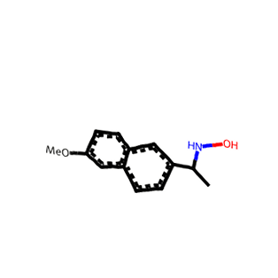 COc1ccc2cc(C(C)NO)ccc2c1